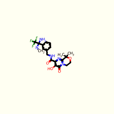 C=NC(N)(c1cccc(CNC(=O)c2nc3n(c(=O)c2O)CCOC3(C)C)c1)C(F)(F)F